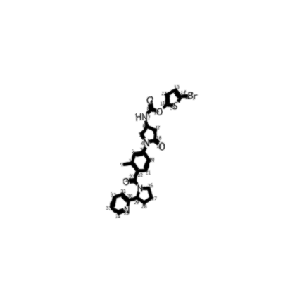 Cc1cc(N2CC(NC(=O)Oc3ccc(Br)s3)CC2=O)ccc1C(=O)N1CCCC1c1ccccn1